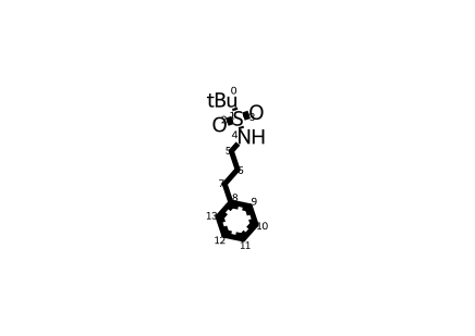 CC(C)(C)S(=O)(=O)NCCCc1ccccc1